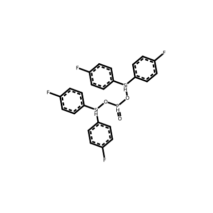 O=[PH](O[SiH](c1ccc(F)cc1)c1ccc(F)cc1)O[SiH](c1ccc(F)cc1)c1ccc(F)cc1